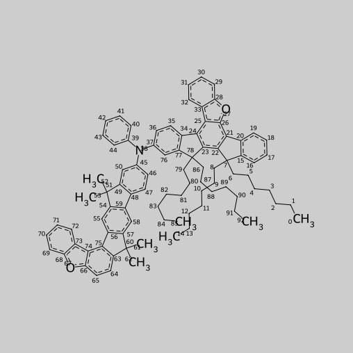 CCCCCCCC1(CCCCCCC)c2ccccc2-c2c1c1c(c3c2oc2ccccc23)-c2ccc(N(c3ccccc3)c3ccc4c(c3)C(C)(C)c3cc5c(cc3-4)C(C)(C)c3ccc4oc6ccccc6c4c3-5)cc2C1(CCCCCCC)CCCCCCC